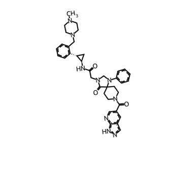 CN1CCN(Cc2ccccc2[C@@H]2C[C@H]2NC(=O)CN2CN(c3ccccc3)C3(CCN(C(=O)c4cnc5[nH]ncc5c4)CC3)C2=O)CC1